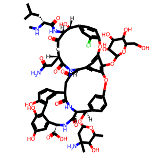 CN[C@H](CC(C)C)C(=O)N[C@H]1C(=O)C[C@@H](CC(N)=O)C(=O)N[C@H]2C(=O)C[C@H]3C(=O)N[C@H](C(=O)N[C@H](C(=O)O)c4cc(O)cc(O)c4-c4cc3ccc4O)[C@H](OC3CC(C)(N)C(O)C(C)O3)c3ccc(cc3)Oc3cc2cc(c3OC2OC(CO)C(O)C(O)C2O)Oc2ccc(cc2Cl)[C@H]1O